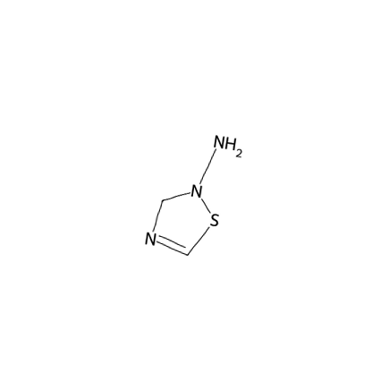 NN1CN=CS1